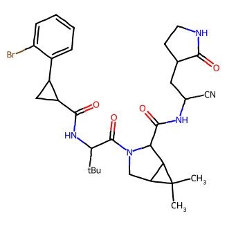 CC(C)(C)C(NC(=O)C1CC1c1ccccc1Br)C(=O)N1CC2C(C1C(=O)NC(C#N)CC1CCNC1=O)C2(C)C